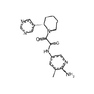 Cc1cc(NC(=O)C(=O)N2CCCC[C@H]2c2cncnc2)cnc1N